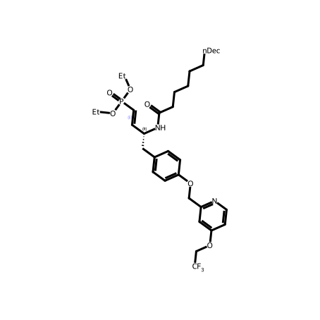 CCCCCCCCCCCCCCCC(=O)N[C@@H](/C=C/P(=O)(OCC)OCC)Cc1ccc(OCc2cc(OCC(F)(F)F)ccn2)cc1